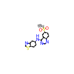 CC(C)(C)S(=O)(=O)c1ccc2ncnc(Nc3ccc4scnc4c3)c2c1